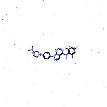 Cc1cc(F)cc(C)c1Nc1ncnc2c1cnn2-c1ccc(N2CC[C@H](N(C)C)C2)cc1